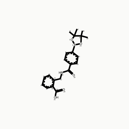 CC1(C)OB(c2ccc(C(=O)NCc3ccccc3C(=O)O)cc2)OC1(C)C